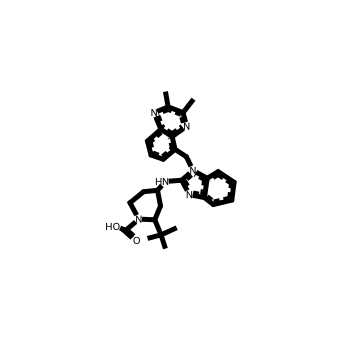 Cc1nc2cccc(Cn3c(NC4CCN(C(=O)O)C(C(C)(C)C)C4)nc4ccccc43)c2nc1C